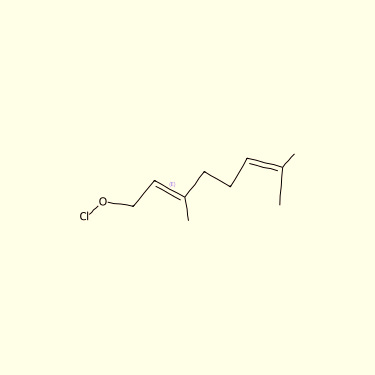 CC(C)=CCC/C(C)=C/COCl